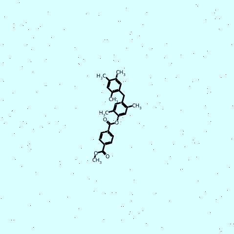 COC(=O)c1ccc(C(=O)Oc2cc(C)c(Cc3cc(C)c(C)cc3C)cc2C)cc1